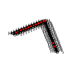 CC(=O)O.CC(=O)O.CC(=O)O.CC(=O)O.CC(=O)O.CC(=O)O.CC(=O)O.CC(=O)O.CC(=O)O.CC(=O)O.CC(=O)O.CC(=O)O.CC(=O)O.CC(=O)O.CC(=O)O.CC(=O)O.CC(=O)O.CC(=O)O.CC(=O)O.CC(=O)O.CC(=O)O.CC(=O)O.CC(=O)O.CC(=O)O.CC(=O)O.CC(=O)O